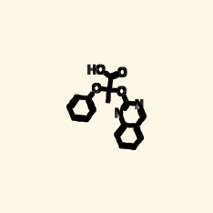 CC(Oc1ccccc1)(Oc1ncc2ccccc2n1)C(=O)O